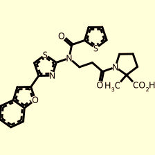 CC1(C(=O)O)CCCN1C(=O)CCN(C(=O)c1cccs1)c1nc(-c2cc3ccccc3o2)cs1